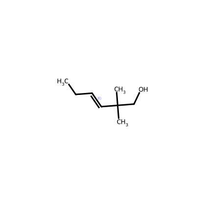 CC/C=C/C(C)(C)CO